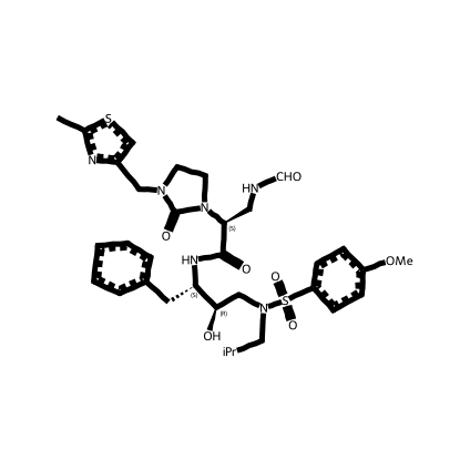 COc1ccc(S(=O)(=O)N(CC(C)C)C[C@@H](O)[C@H](Cc2ccccc2)NC(=O)[C@H](CNC=O)N2CCN(Cc3csc(C)n3)C2=O)cc1